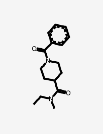 CCN(C)C(=O)C1CCN(C(=O)c2ccccc2)CC1